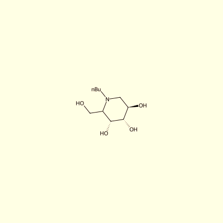 CCCCN1C[C@@H](O)[C@H](O)[C@H](O)C1CO